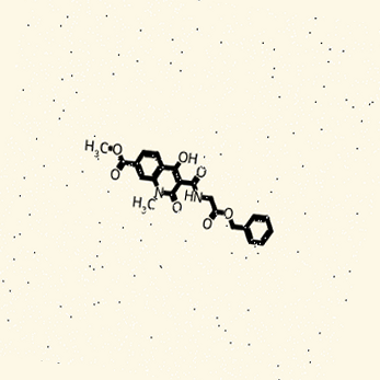 COC(=O)c1ccc2c(O)c(C(=O)NCC(=O)OCc3ccccc3)c(=O)n(C)c2c1